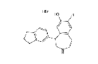 Br.Oc1cc2c(cc1Cl)CCNCC2c1ccc2c(c1)CCC2